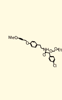 CCOCOC(C(=O)NCCc1ccc(OCC#COC)cc1)c1ccc(Cl)cc1